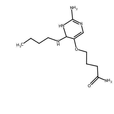 CCCCNC1NC(N)=NC=C1OCCCC(N)=O